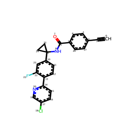 C#Cc1ccc(C(=O)NC2(c3ccc(-c4ccc(Cl)cn4)c(F)c3)CC2)cc1